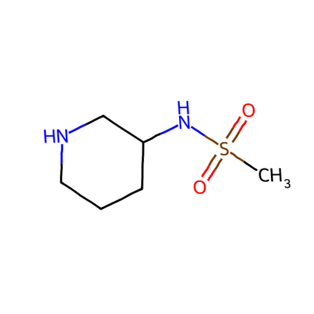 CS(=O)(=O)NC1CCCNC1